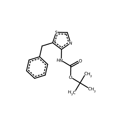 CC(C)(C)OC(=O)Nc1ncsc1Cc1ccccc1